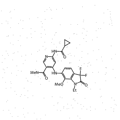 CCN1C(=O)C(F)(F)c2ccc(Nc3cc(NC(=O)C4CC4)ncc3C(=O)NC)c(OC)c21